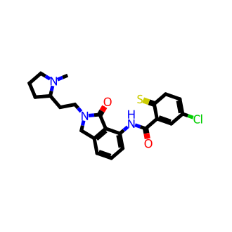 CN1CCCC1CCN1Cc2cccc(NC(=O)C3=CC(Cl)=CCC3=S)c2C1=O